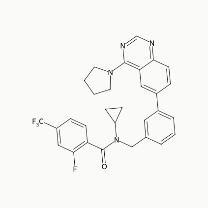 O=C(c1ccc(C(F)(F)F)cc1F)N(Cc1cccc(-c2ccc3ncnc(N4CCCC4)c3c2)c1)C1CC1